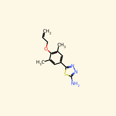 C=CCOc1c(C)cc(-c2nnc(N)s2)cc1C